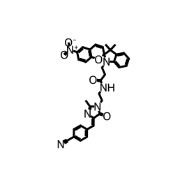 CC1=N/C(=C\c2ccc(C#N)cc2)C(=O)N1CCNC(=O)CCN1c2ccccc2C(C)(C)C12C=Cc1cc([N+](=O)[O-])ccc1O2